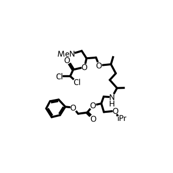 CNCC(COC(C)CCC(C)NCC(COC(C)C)OC(=O)COc1ccccc1)OC(=O)C(Cl)Cl